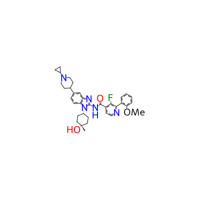 COc1ccccc1-c1nccc(C(=O)Nc2nc3cc(C4CCN(C5CC5)CC4)ccc3n2[C@H]2CC[C@@](C)(O)CC2)c1F